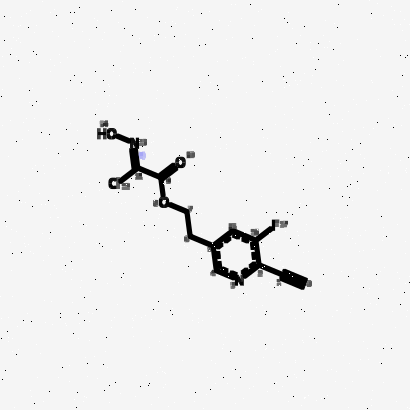 C#Cc1ncc(CCOC(=O)/C(Cl)=N/O)cc1F